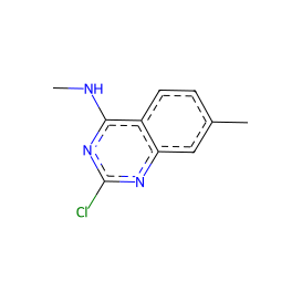 CNc1nc(Cl)nc2cc(C)ccc12